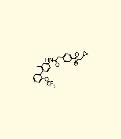 Cc1cc(NC(=O)Cc2ccc(S(=O)(=O)CC3CC3)cc2)ccc1-c1ccccc1OC(F)(F)F